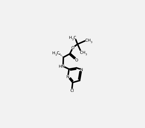 C[C@@H](Nc1cncc(Cl)n1)C(=O)OC(C)(C)C